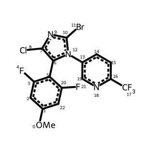 COc1cc(F)c(-c2c(Cl)nc(Br)n2-c2ccc(C(F)(F)F)nc2)c(F)c1